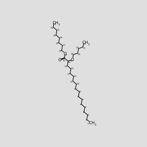 CCCCCCCCCCCCCCCCC(OCCCCC)C(=O)OCCCCCCCC